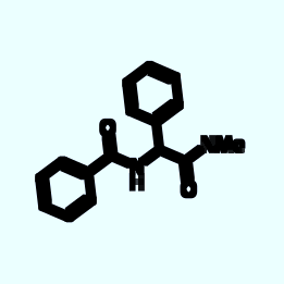 CNC(=O)C(NC(=O)c1ccccc1)c1ccccc1